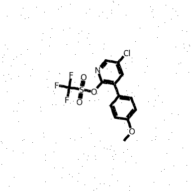 COc1ccc(-c2cc(Cl)cnc2OS(=O)(=O)C(F)(F)F)cc1